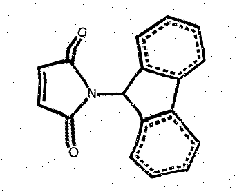 O=C1C=CC(=O)N1C1c2ccccc2-c2ccccc21